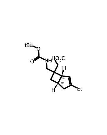 CCC1=C[C@@H]2[C@H](C1)CC2(CNC(=O)OC(C)(C)C)CC(=O)O